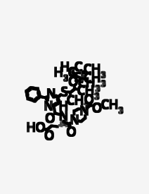 CCOC(=O)N1CCN(C(=O)[C@H](CCC(=O)O)NC(=O)c2cc(SC(C)C(C)O[Si](C)(C)C(C)(C)C)nc(-c3ccccc3)n2)CC1